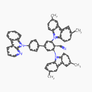 Cc1ccc2c(c1)c1cc(C)ccc1n2-c1cc(-c2ccc(-n3c4ccccc4c4cccnc43)cc2)cc(-n2c3ccc(C)cc3c3cc(C)ccc32)c1C#N